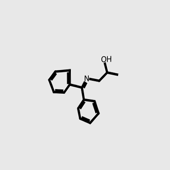 CC(O)CN=C(c1ccccc1)c1ccccc1